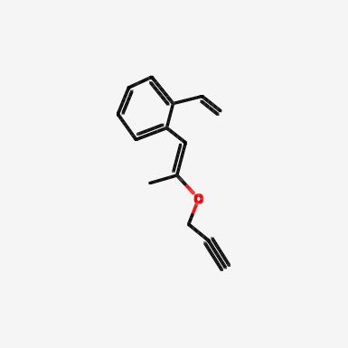 C#CCO/C(C)=C/c1ccccc1C=C